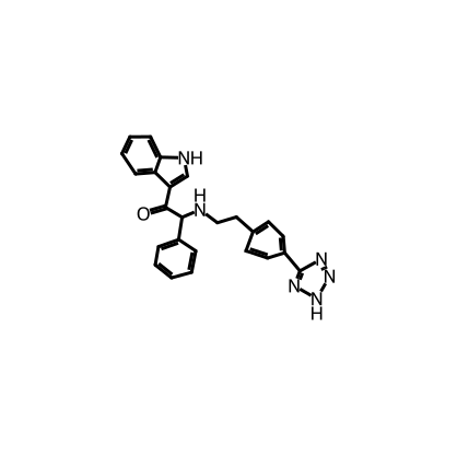 O=C(c1c[nH]c2ccccc12)C(NCCc1ccc(-c2nn[nH]n2)cc1)c1ccccc1